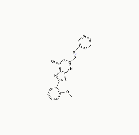 COc1ccccc1-c1nn2c(=O)cc(/C=C/c3cccnc3)nc2s1